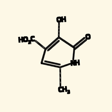 Cc1cc(C(=O)O)c(O)c(=O)[nH]1